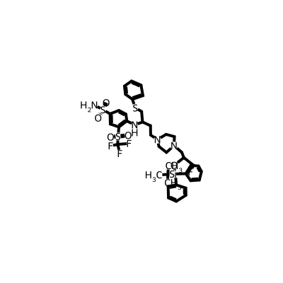 CC(C)(C)[Si](OC(CF)CN1CCN(CCC(CSc2ccccc2)Nc2ccc(S(N)(=O)=O)cc2S(=O)(=O)C(F)(F)F)CC1)(c1ccccc1)c1ccccc1